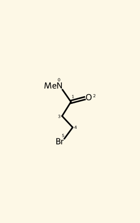 CNC(=O)CCBr